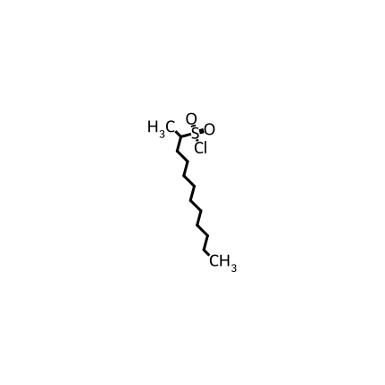 CCCCCCCCCCC(C)S(=O)(=O)Cl